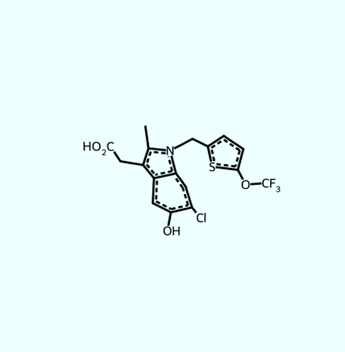 Cc1c(CC(=O)O)c2cc(O)c(Cl)cc2n1Cc1ccc(OC(F)(F)F)s1